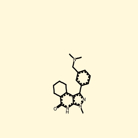 CN(C)Cc1cccc(-c2nn(C)c3[nH]c(=O)c4c(c23)CCCC4)c1